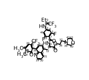 CC[C@@H](Nc1cc(F)c(C(=O)N[C@@H](Cc2ccc(-c3c(C(F)(F)F)cc(C)n(C)c3=O)c3ncccc23)C(=O)OCCN2CCOCC2)c(F)c1)C(F)(F)F